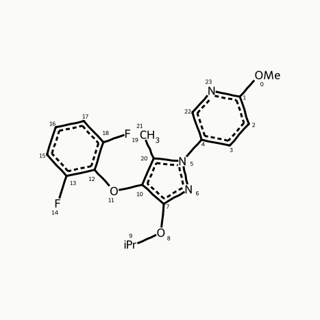 COc1ccc(-n2nc(OC(C)C)c(Oc3c(F)cccc3F)c2C)cn1